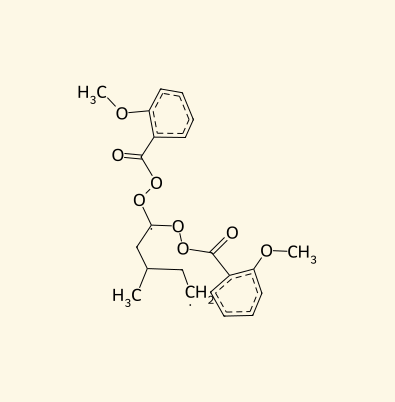 [CH2]CC(C)C[C](OOC(=O)c1ccccc1OC)OOC(=O)c1ccccc1OC